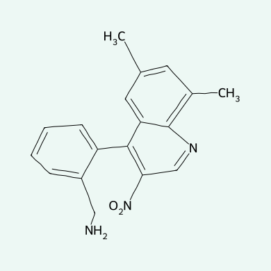 Cc1cc(C)c2ncc([N+](=O)[O-])c(-c3ccccc3CN)c2c1